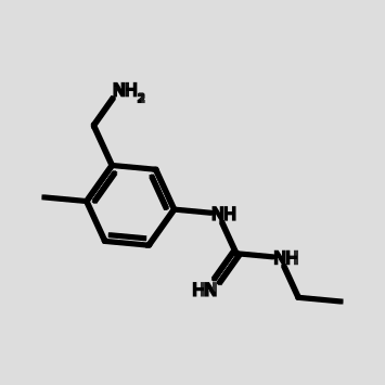 CCNC(=N)Nc1ccc(C)c(CN)c1